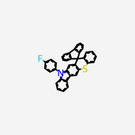 Fc1ccc(-n2c3ccccc3c3cc4c(cc32)C2(c3ccccc3S4)c3ccccc3-c3ccccc32)cc1